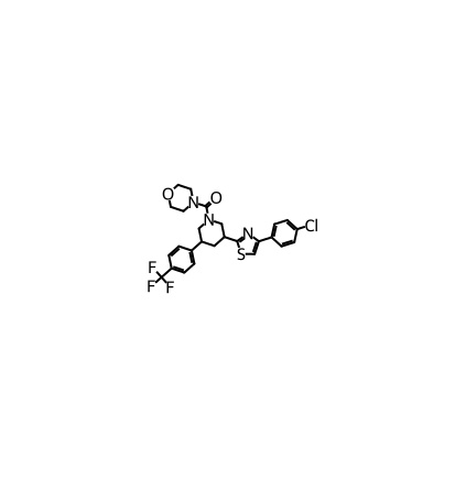 O=C(N1CCOCC1)N1CC(c2ccc(C(F)(F)F)cc2)CC(c2nc(-c3ccc(Cl)cc3)cs2)C1